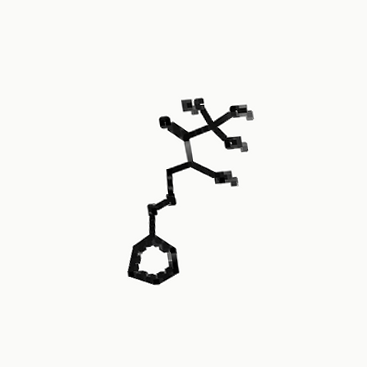 CC(C)(C)C(=O)C(N)CSSc1ccccc1